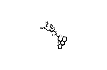 CC(=O)N(C)Cc1cc(SNC(=O)Nc2c3c(cc4c2CCC4)CCC3)nn1C(C)C